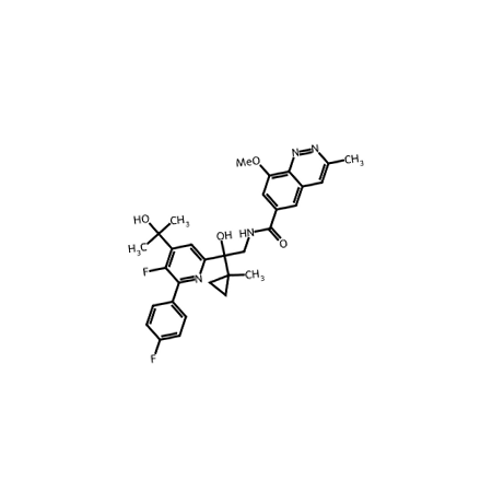 COc1cc(C(=O)NCC(O)(c2cc(C(C)(C)O)c(F)c(-c3ccc(F)cc3)n2)C2(C)CC2)cc2cc(C)nnc12